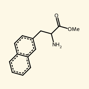 COC(=O)C(N)Cc1ccc2ccccc2c1